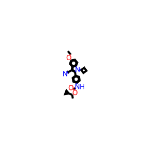 CCOc1ccc2c(c1)c(C#N)c(-c1ccc(NC(=O)OC(C)C3CC3)cc1)n2C1CCC1